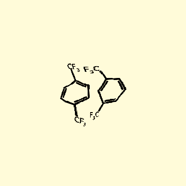 FC(F)(F)c1ccc(C(F)(F)F)cc1.FC(F)(F)c1cccc(C(F)(F)F)c1